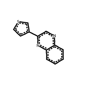 c1ccc2nc(-c3ccsc3)cnc2c1